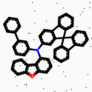 c1ccc(-c2cccc(N(c3ccc4c(c3)C3(c5ccccc5-c5ccccc53)c3ccccc3-4)c3cccc4oc5ccccc5c34)c2)cc1